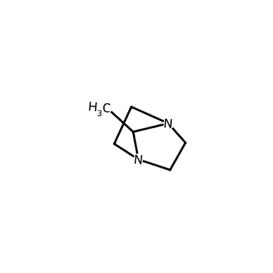 CC1N2CCN1CC2